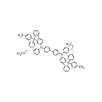 C=CCSc1ccc(C2(c3ccc(C)cc3)c3ccccc3-c3ccc(N(c4ccccc4)c4ccc(-c5ccc(N(c6ccccc6)c6ccc7c(c6)C(C6=CCC(SCC=C)C=C6)(c6ccc(C)cc6)c6ccccc6-7)cc5)cc4)cc32)cc1